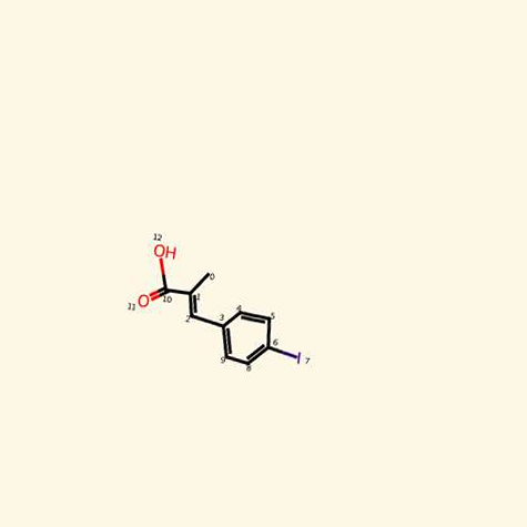 C/C(=C\c1ccc(I)cc1)C(=O)O